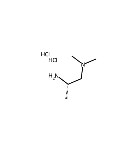 C[C@H](N)CN(C)C.Cl.Cl